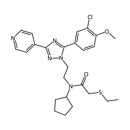 CCSCC(=O)N(CCn1nc(-c2ccncc2)nc1-c1ccc(OC)c(Cl)c1)C1CCCC1